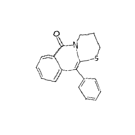 O=c1c2ccccc2c(-c2ccccc2)c2n1CCCS2